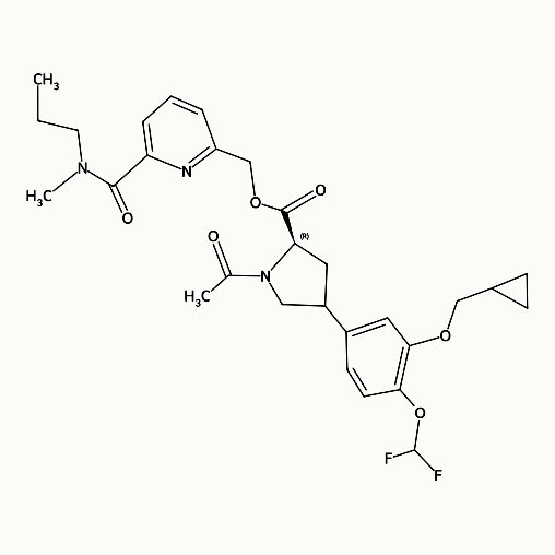 CCCN(C)C(=O)c1cccc(COC(=O)[C@H]2CC(c3ccc(OC(F)F)c(OCC4CC4)c3)CN2C(C)=O)n1